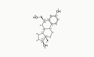 C[C@]12CCC3c4ccc(O)cc4[C@H](CO)CC3C1CC[C@@H]2O